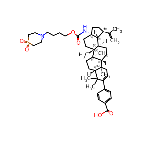 C=C(C)[C@@H]1CC[C@]2(NC(=O)OCCCCN3CCS(=O)(=O)CC3)CC[C@]3(C)[C@H](CC[C@@H]4[C@@]5(C)CC=C(c6ccc(C(=O)O)cc6)C(C)(C)[C@@H]5CC[C@]43C)[C@@H]12